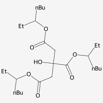 CCCCC(CC)OC(=O)CC(O)(CC(=O)OC(CC)CCCC)C(=O)OC(CC)CCCC